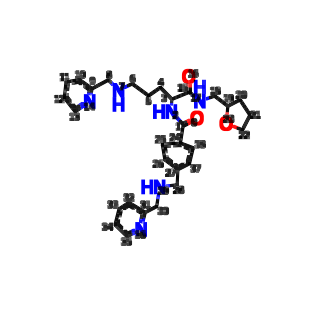 O=C(NC(CCCNCc1ccccn1)C(=O)NCC1CCCO1)c1ccc(CNCc2ccccn2)cc1